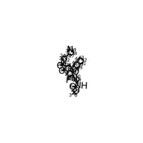 CC(C)(C)OC(=O)NC1CCN(c2c(F)cc3c(=O)c(C(=O)N4CCC(c5cccnc5)C4)cn4c3c2Oc2cc3ccccc3cc2-4)C1